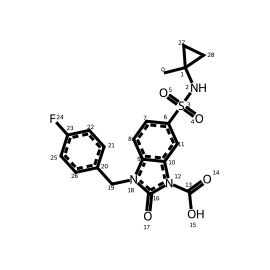 CC1(NS(=O)(=O)c2ccc3c(c2)n(C(=O)O)c(=O)n3Cc2ccc(F)cc2)CC1